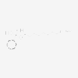 CCCCCCCCCCCCCCCCCCOC(C)(O)c1ccccc1